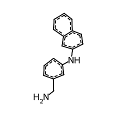 NCc1cccc(Nc2ccc3ccccc3c2)c1